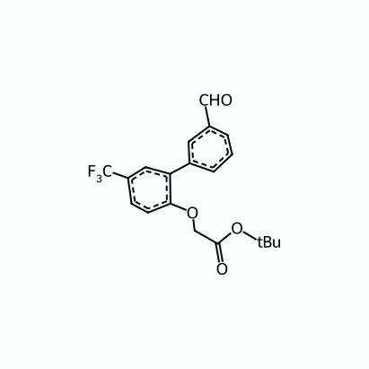 CC(C)(C)OC(=O)COc1ccc(C(F)(F)F)cc1-c1cccc(C=O)c1